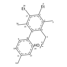 CCc1c(C)c(CC(=O)O)c(-c2ccc(C)cc2)c(C)c1CC